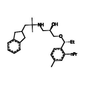 CCCc1cc(C)ccc1[C@@H](CC)OC[C@H](O)CNC(C)(C)CC1Cc2ccccc2C1